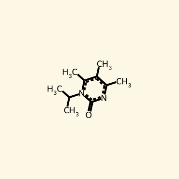 Cc1nc(=O)n(C(C)C)c(C)c1C